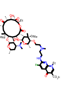 CC[C@@H]1OC(=O)[C@H](C)[C@H](O[C@@H]2C[C@](C)(OC)[C@H](OCCN(C)CCNc3nc4c(cc3F)c(=O)c(C(=O)O)cn4CC)[C@H](C)O2)[C@@H](C)[C@H](O[C@H]2O[C@@H](C)C[C@@H](N(C)C)[C@H]2O)[C@](C)(OC)C[C@H](C)C(=O)[C@H](C)[C@H](O)[C@@]1(C)O